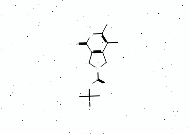 Cc1[nH]c(=O)c2c(c1C)CN(C(=O)OC(C)(C)C)C2